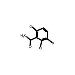 CC([O])c1c(Cl)ccc(F)c1Cl